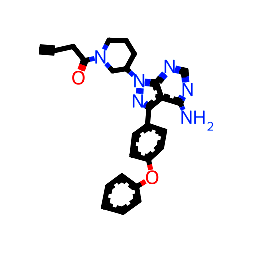 C#CCC(=O)N1CCCC(n2nc(-c3ccc(Oc4ccccc4)cc3)c3c(N)ncnc32)C1